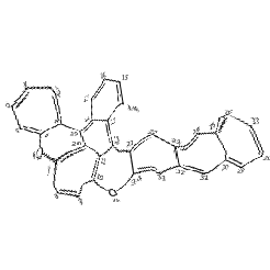 c1ccc2c(c1)Oc1ccc3c4c(c5ccccc5c-2c14)-c1cc2cc4ccccc4cc2cc1O3